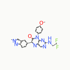 COc1ccc(-n2c(=O)c(-c3ccc4nn(C)cc4c3)nc3cnc(NCC(F)F)nc32)cc1